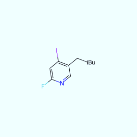 [CH2]CC(C)Cc1cnc(F)cc1I